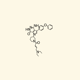 CCN(CC)C/C=C/C(=O)N1CCC[C@@H](n2cc(-c3ccc(Oc4ccccc4)cc3)c3c(N)n[nH]c(=O)c32)C1